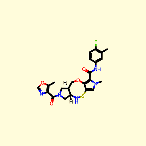 Cc1cc(NC(=O)c2c3c(cn2C)SN[C@@H]2CN(C(=O)c4ncoc4C)C[C@H]2CO3)ccc1F